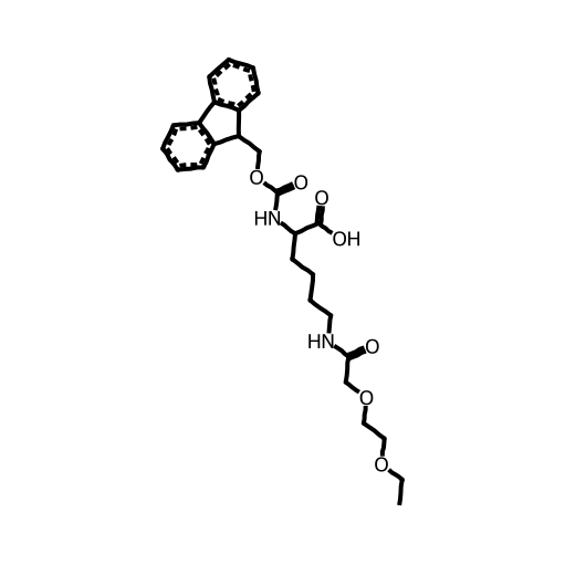 CCOCCOCC(=O)NCCCCC(NC(=O)OCC1c2ccccc2-c2ccccc21)C(=O)O